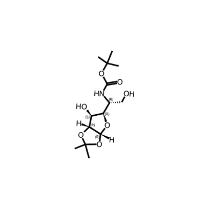 CC(C)(C)OC(=O)N[C@H](CO)[C@H]1O[C@@H]2OC(C)(C)O[C@@H]2[C@H]1O